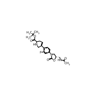 CC(=O)NC[C@H]1CN(c2ccc(C3=CCC(C(=O)OC(C)(C)C)NC3)c(F)c2)C(=O)O1